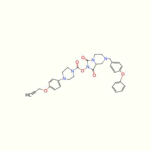 C#CCOc1ccc(N2CCN(C(=O)ON3C(=O)C4CN(Cc5ccc(Oc6ccccc6)cc5)CCN4C3=O)CC2)cc1